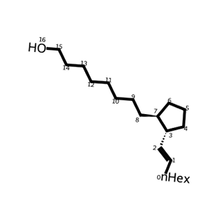 CCCCCCC=C[C@H]1CCC[C@@H]1CCCCCCCCO